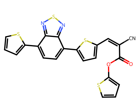 N#CC(=Cc1ccc(-c2ccc(-c3cccs3)c3nsnc23)s1)C(=O)Oc1cccs1